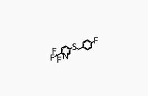 Fc1ccc(CSc2ccc(C(F)(F)F)nc2)cc1